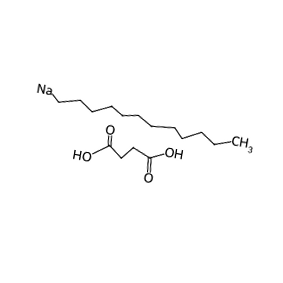 CCCCCCCCCCC[CH2][Na].O=C(O)CCC(=O)O